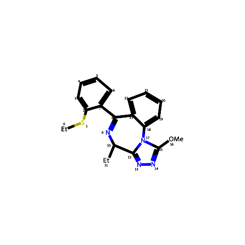 CCSc1ccccc1C1=NC(CC)c2nnc(OC)n2-c2ccccc21